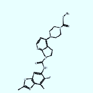 Cc1nc2c(C)c(F)c(NC(=O)N3CCc4c(N5CCN(C(=O)OC(C)(C)C)CC5)ccnc43)cc2o1